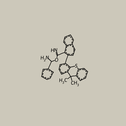 CC1(C)c2ccccc2Sc2c(-c3ccc4ccccc4c3C(=N)OC(N)c3ccccc3)cccc21